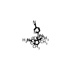 CC(C)(C)C1(CNc2ccc(C#N)cn2)CCC(C)(OC(N)=O)C1(C)C